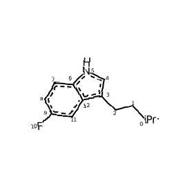 C[C](C)CCc1c[nH]c2ccc(F)cc12